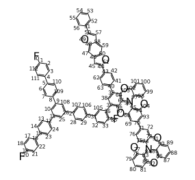 Fc1ccc(-c2ccc(-c3cc(-c4ccc(-c5ccc(F)cc5)cc4)cc(-c4ccc(-c5ccc(F)c(-c6cc(-c7ccc(-c8cc9cc%10oc(-c%11ccccc%11)cc%10cc9o8)cc7)c7c8c6Oc6cc(-c9cc%10c%11c(c9)Oc9cccc%12c9N%11c9c(cccc9O%10)O%12)cc9c6N8c6c(cccc6O7)O9)c5)cc4)c3)cc2)cc1